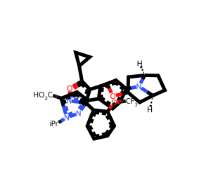 CC(C)n1nc(-c2ccc(N3[C@@H]4CC[C@H]3CC(OCc3c(-c5ccccc5OC(F)(F)F)noc3C3CC3)C4)cc2)cc1C(=O)O